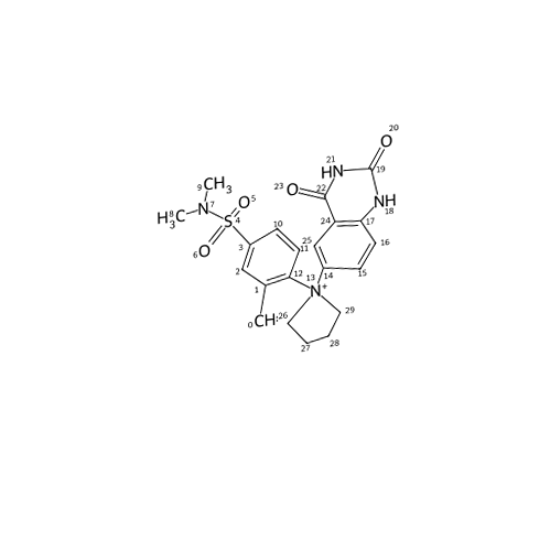 [CH]c1cc(S(=O)(=O)N(C)C)ccc1[N+]1(c2ccc3[nH]c(=O)[nH]c(=O)c3c2)CCCC1